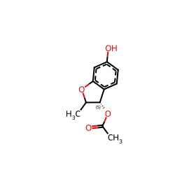 CC(=O)O[C@H]1c2ccc(O)cc2OC1C